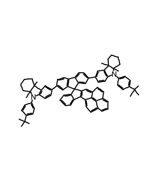 CC(C)(C)c1ccc(N2c3ccc(-c4ccc5c(c4)C4(c6cc(-c7ccc8c(c7)C7(C)CCCCC7(C)N8c7ccc(C(C)(C)C)cc7)ccc6-5)c5ccccc5-c5c4cc4ccc6cccc7ccc5c4c67)cc3C3(C)CCCCC23C)cc1